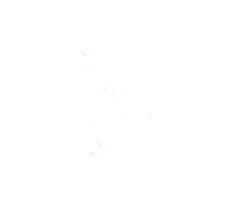 O=C(O)O.O=C(O)O.[Na+].[Na+].[Na+].[O-][Si]([O-])([O-])O